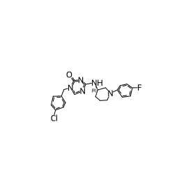 O=c1nc(N[C@@H]2CCCN(c3ccc(F)cc3)C2)ncn1Cc1ccc(Cl)cc1